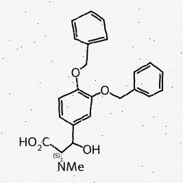 CN[C@H](C(=O)O)C(O)c1ccc(OCc2ccccc2)c(OCc2ccccc2)c1